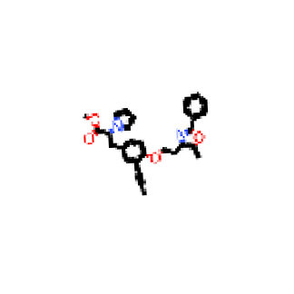 CC#Cc1cc(CC(C(=O)OC)n2cccc2)ccc1OCCc1nc(-c2ccccc2)oc1C